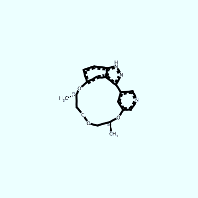 C[C@H]1CCOC[C@H](C)Oc2cncc(c2)-c2n[nH]c3ccc(cc23)O1